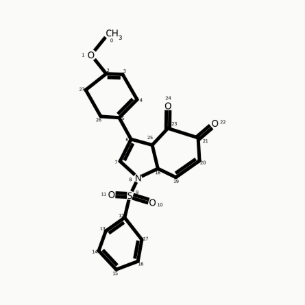 COC1=CC=C(C2=CN(S(=O)(=O)c3ccccc3)C3C=CC(=O)C(=O)C23)CC1